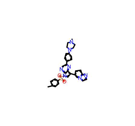 Cc1ccc(S(=O)(=O)n2cc(-c3ccc4nccn4c3)c3nc(-c4ccc(N5CCN(C)CC5)cc4)cnc32)cc1